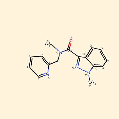 CN(Cc1ccccn1)C(=O)c1nn(C)c2ccccc12